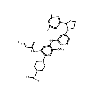 C=CC(=O)Nc1cc(Nc2cc(N3OCCC3c3cc(F)cc(C(F)(F)F)c3)ncn2)c(OC)cc1N1CCC(N(CC)CC)CC1